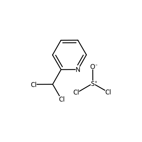 ClC(Cl)c1ccccn1.[O-][S+](Cl)Cl